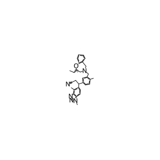 CC[C@@H]1CN(Cc2cc(C(CC#N)c3ccc4c(nnn4C)c3C)ccc2C)Cc2ccccc2O1